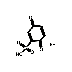 O=C1C=CC(=O)C(S(=O)(=O)O)=C1.[KH]